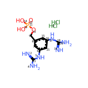 Cl.Cl.N=C(N)Nc1cc(COP(=O)(O)O)cc(NC(=N)N)c1